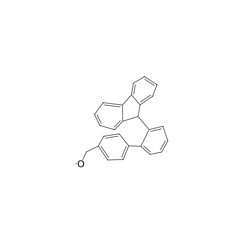 [O]Cc1ccc(-c2ccccc2C2c3ccccc3-c3ccccc32)cc1